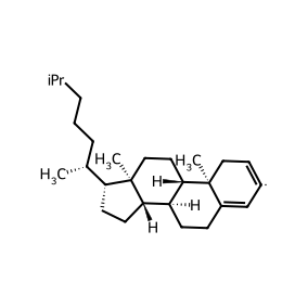 CC(C)CCC[C@@H](C)[C@H]1CC[C@H]2[C@@H]3CCC4=C[C]=CC[C@]4(C)[C@H]3CC[C@]12C